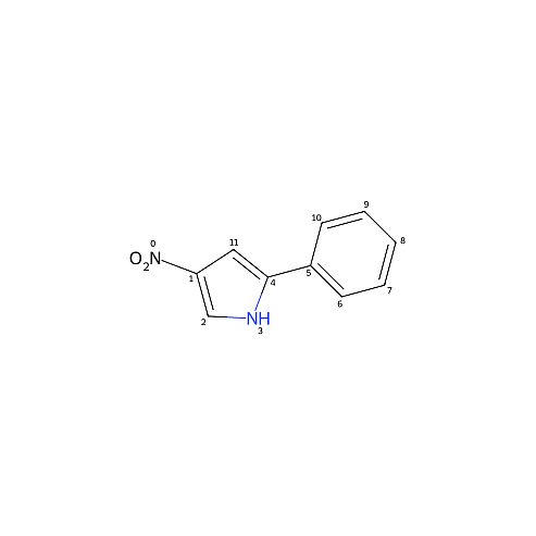 O=[N+]([O-])c1c[nH]c(-c2ccccc2)c1